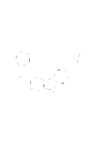 CC=NOc1ccc2c(c1)c1cc(C(=O)c3ccccc3C)ccc1n2CC